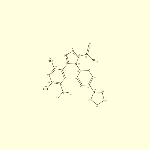 CC(C)c1cc(-c2nnc(C(N)=O)n2-c2ccc(N3CCCC3)cc2)c(O)cc1O